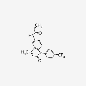 C=CC(=O)Nc1ccc2c(c1)c(C)cc(=O)n2-c1ccc(C(F)(F)F)cc1